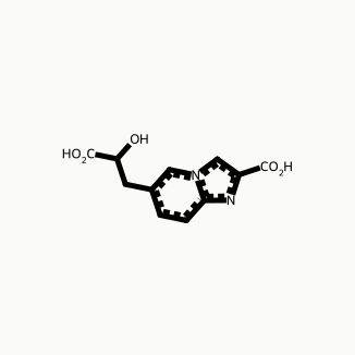 O=C(O)c1cn2cc(CC(O)C(=O)O)ccc2n1